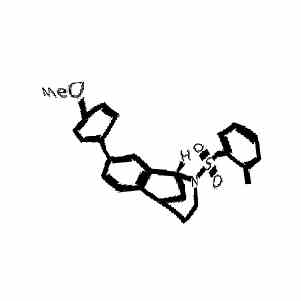 COc1ccc(-c2ccc3c(c2)[C@H]2CC3CCN2S(=O)(=O)c2ccccc2C)cc1